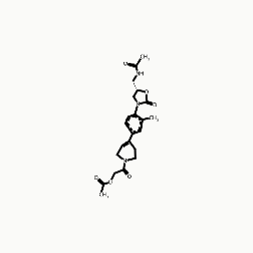 CC(=O)NC[C@H]1CN(c2ccc(C3=CCN(C(=O)COC(C)=O)CC3)cc2C)C(=O)O1